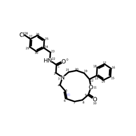 O=C(CN1C/C=C/CCC(=O)OC(c2ccccc2)CCC1)NCc1ccc(Cl)cc1